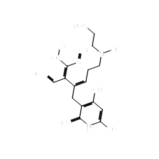 C=CC(/C(=C\CCN(C)CCNC)CC1=C(C)C=C(C)NC1=C)=C(/N=C)NC(C)C